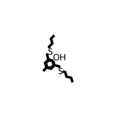 CCCCSCc1cc(C)cc(CSCCCC)c1O